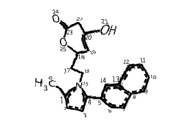 Cc1ccc(-c2ccc3ccccc3c2)n1CCC1C=C(O)CC(=O)O1